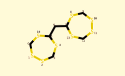 C1SSCSC(CC2SCSSCS2)S1